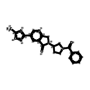 O=C(c1ccccc1)N1CCC(N2Cc3ncc(-c4noc(C(F)(F)F)n4)cc3C2=O)C1